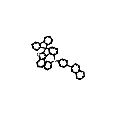 c1ccc(N(c2ccc(-c3ccc4ccccc4c3)cc2)c2cccc3c2-c2c(oc4ccccc24)C32c3ccccc3-c3ccccc32)cc1